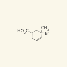 CC1(Br)C=CC=C(C(=O)O)C1